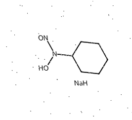 O=NN(O)C1CCCCC1.[NaH]